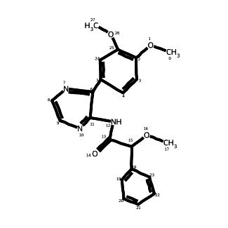 COc1ccc(-c2nccnc2NC(=O)C(OC)c2ccccc2)cc1OC